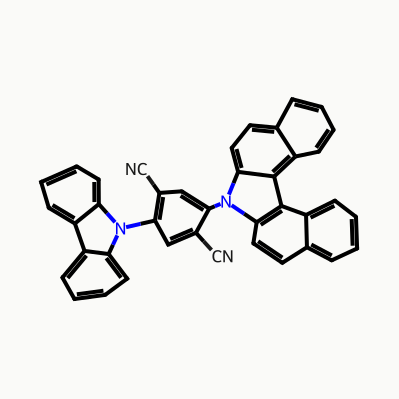 N#Cc1cc(-n2c3ccc4ccccc4c3c3c4ccccc4ccc32)c(C#N)cc1-n1c2ccccc2c2ccccc21